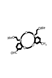 COCCN1CCOCCN(CCOC)c2ccc(C=O)cc2OCCOc2cc(C)ccc21